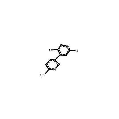 FC(F)(F)c1ccc(-c2cc(Cl)ncc2Cl)cn1